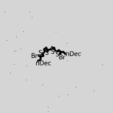 CCCCCCCCCCCCc1cc(-c2ccc(-c3ccc(-c4cc(CCCCCCCCCCCC)c(Br)s4)s3)s2)sc1Br